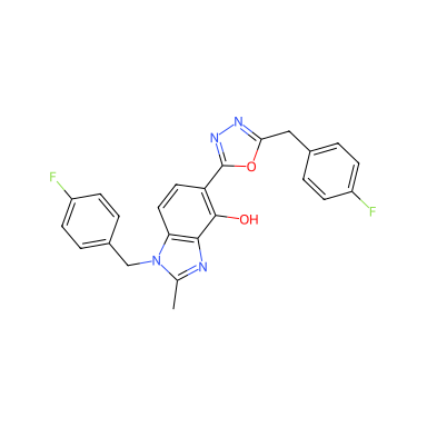 Cc1nc2c(O)c(-c3nnc(Cc4ccc(F)cc4)o3)ccc2n1Cc1ccc(F)cc1